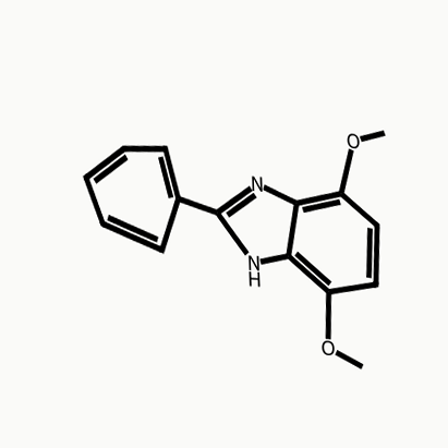 COc1ccc(OC)c2[nH]c(-c3ccccc3)nc12